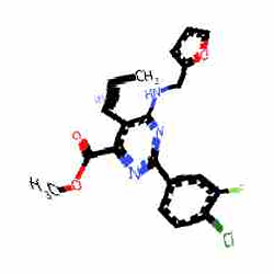 C/C=C\c1c(NCc2ccco2)nc(-c2ccc(Cl)c(F)c2)nc1C(=O)OC